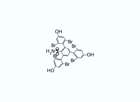 NS(=O)(=O)c1c(-c2c(Br)cc(O)cc2Br)cc(-c2c(Br)cc(O)cc2Br)cc1-c1c(Br)cc(O)cc1Br